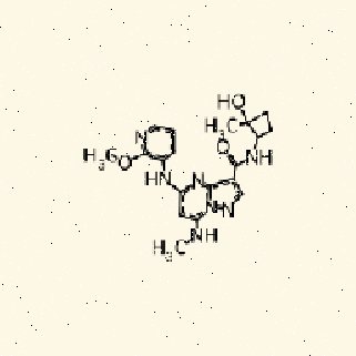 CNc1cc(Nc2cccnc2OC)nc2c(C(=O)NC3CC[C@@]3(C)O)cnn12